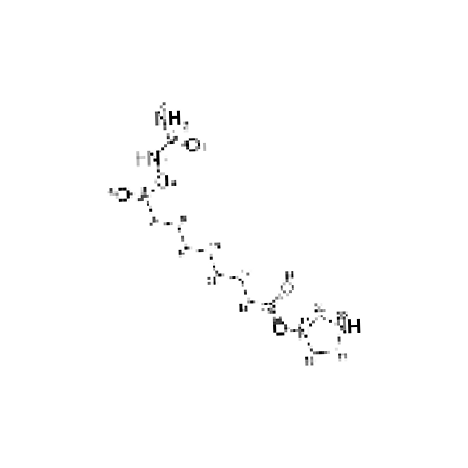 NC(=O)NOC(=O)CCCCCCCC(=O)ON1CCNC1